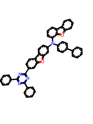 c1ccc(-c2ccc(N(c3ccc4c(c3)oc3cc(-c5nc(-c6ccccc6)nc(-c6ccccc6)n5)ccc34)c3cccc4c3oc3ccccc34)cc2)cc1